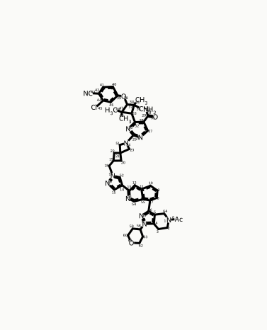 CC(=O)N1CCc2c(c(-c3cccc4cc(-c5cnn(CC6CC7(C6)CN(c6ncc(C(N)=O)c(C8C(C)(C)C(Oc9ccc(C#N)c(Cl)c9)C8(C)C)n6)C7)c5)ncc34)nn2C2CCOCC2)C1